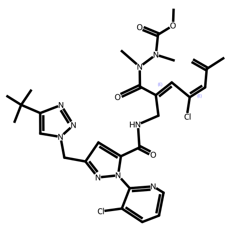 C=C(C)/C=C(Cl)\C=C(/CNC(=O)c1cc(Cn2cc(C(C)(C)C)nn2)nn1-c1ncccc1Cl)C(=O)N(C)N(C)C(=O)OC